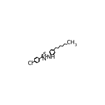 CCCCCCCc1ccc(Nc2nc(-c3ccc(Cl)cc3)cs2)cc1